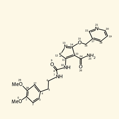 COc1ccc(CCNC(=O)Nc2snc(OCc3cccnc3)c2C(N)=O)cc1OC